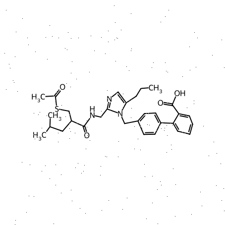 CCCc1cnc(CNC(=O)C(CSC(C)=O)CC(C)C)n1Cc1ccc(-c2ccccc2C(=O)O)cc1